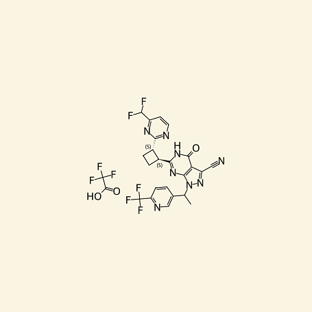 CC(c1ccc(C(F)(F)F)nc1)n1nc(C#N)c2c(=O)[nH]c([C@H]3CC[C@@H]3c3nccc(C(F)F)n3)nc21.O=C(O)C(F)(F)F